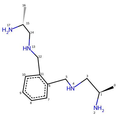 C[C@@H](N)CNCc1ccccc1CNC[C@@H](C)N